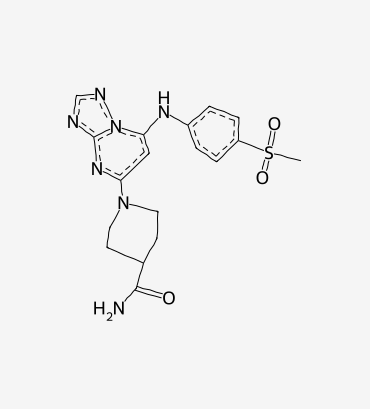 CS(=O)(=O)c1ccc(Nc2cc(N3CCC(C(N)=O)CC3)nc3ncnn23)cc1